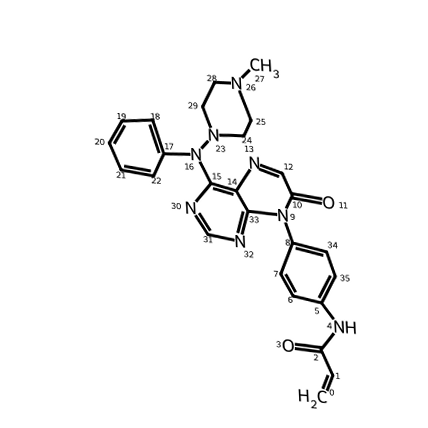 C=CC(=O)Nc1ccc(-n2c(=O)cnc3c(N(c4ccccc4)N4CCN(C)CC4)ncnc32)cc1